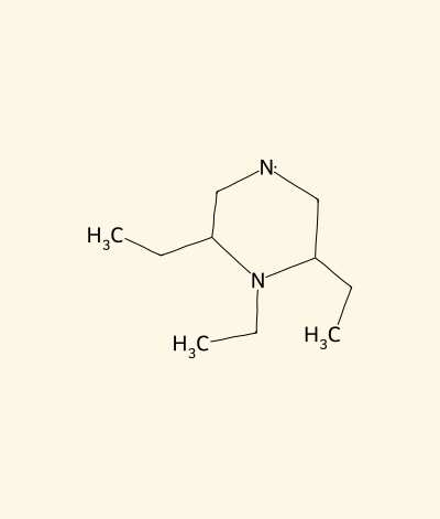 CCC1C[N]CC(CC)N1CC